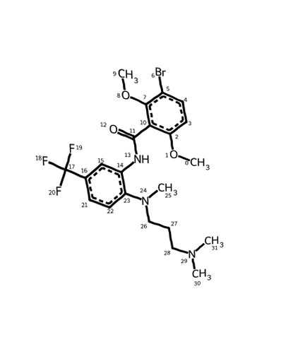 COc1ccc(Br)c(OC)c1C(=O)Nc1cc(C(F)(F)F)ccc1N(C)CCCN(C)C